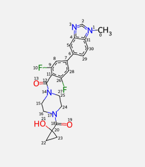 Cn1cnc2cc(-c3cc(F)c(C(=O)N4CCN(C(=O)C5(O)CC5)CC4)c(F)c3)ccc21